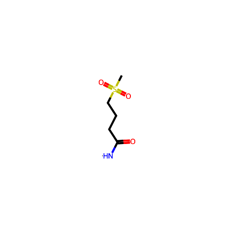 CS(=O)(=O)CCCC([NH])=O